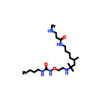 CC(C)CCCNC(=O)NOCCNC(C)(C)CC(C)CCCCNC(=O)CCNC(C)C